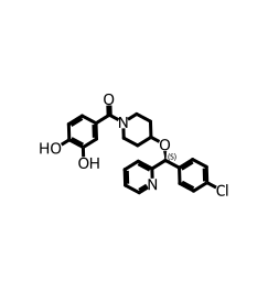 O=C(c1ccc(O)c(O)c1)N1CCC(O[C@@H](c2ccc(Cl)cc2)c2ccccn2)CC1